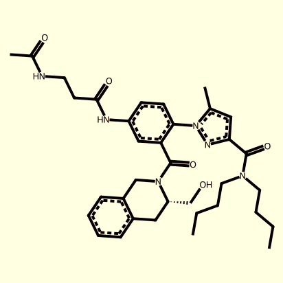 CCCCN(CCCC)C(=O)c1cc(C)n(-c2ccc(NC(=O)CCNC(C)=O)cc2C(=O)N2Cc3ccccc3C[C@H]2CO)n1